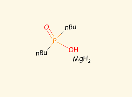 CCCCP(=O)(O)CCCC.[MgH2]